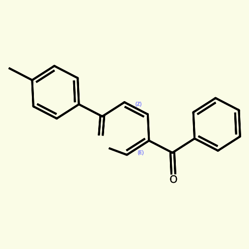 C=C(/C=C\C(=C/C)C(=O)c1ccccc1)c1ccc(C)cc1